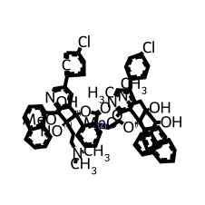 COc1ncc(-c2ccc(Cl)cc2)cc1[C@](OC(=O)/C=C\C(=O)O[C@](c1ccccc1)(c1cc(-c2ccc(Cl)cc2)cnc1OC)[C@](O)(CCN(C)C)C(O)c1cccc2ccccc12)(c1ccccc1)[C@](O)(CCN(C)C)C(O)c1cccc2ccccc12